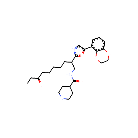 CCC(=O)CCCCCC(CNC(=O)C1CCNCC1)c1ncc(-c2cccc3c2OCCO3)o1